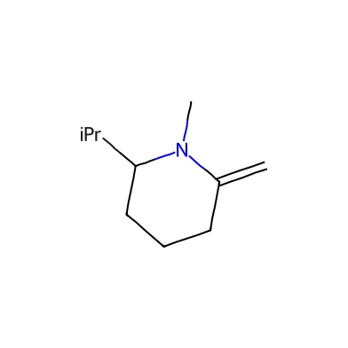 C=C1CCCC(C(C)C)N1C